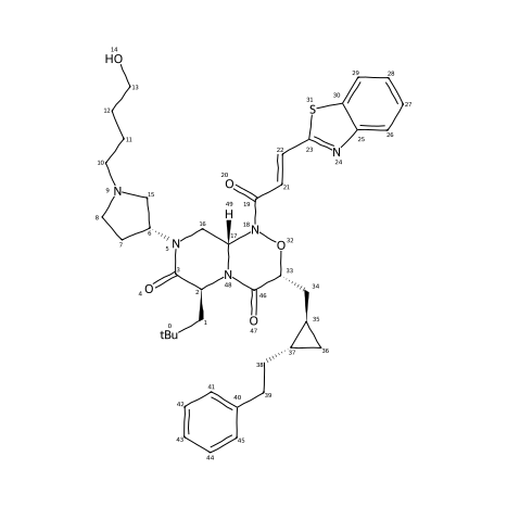 CC(C)(C)C[C@H]1C(=O)N([C@@H]2CCN(CCCCO)C2)C[C@@H]2N(C(=O)/C=C/c3nc4ccccc4s3)O[C@H](C[C@H]3C[C@@H]3CCc3ccccc3)C(=O)N21